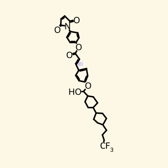 O=C(/C=C/c1ccc(OC(O)C2CCC(C3CCC(CCCC(F)(F)F)CC3)CC2)cc1)Oc1ccc(N2C(=O)C=CC2=O)cc1